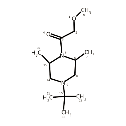 COCC(=O)N1C(C)CN(C(C)(C)C)CC1C